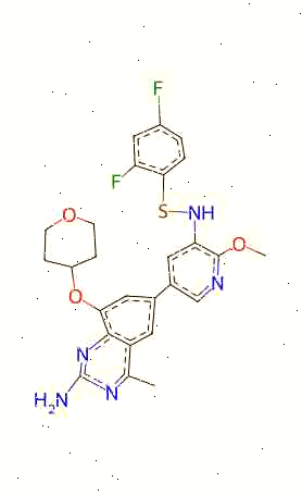 COc1ncc(-c2cc(OC3CCOCC3)c3nc(N)nc(C)c3c2)cc1NSc1ccc(F)cc1F